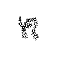 CC(C)(C)N(C(=O)O)C1CCN(S(=O)(=O)c2cccc(OC3CCN(C4CNC4)CC3)c2)CC1.O=C1CCC(N2Cc3cc(N4CC(N5CCC(Oc6cccc(S(=O)(=O)N7CCC(Nc8ncc9ccc(=O)n(C%10CCCC%10)c9n8)CC7)c6)CC5)C4)ccc3C2=O)C(=O)N1